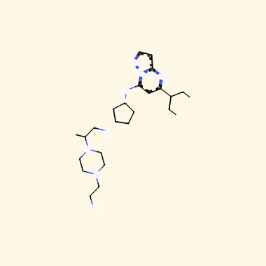 CCC(CC)c1cc(N[C@H]2CC[C@H](NCC(C)N3CCN(CCN)CC3)C2)n2nccc2n1